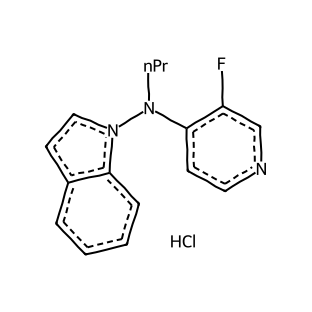 CCCN(c1ccncc1F)n1ccc2ccccc21.Cl